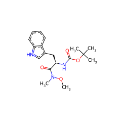 CON(C)C(=O)[C@@H](Cc1c[nH]c2ccccc12)NC(=O)OC(C)(C)C